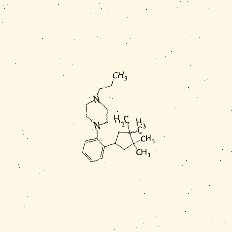 CCCN1CCN(c2ccccc2C2CC(C)(C)C(C)(C)C2)CC1